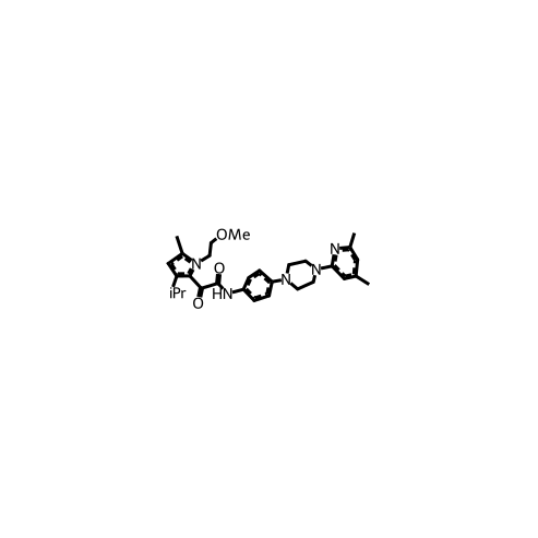 COCCn1c(C)cc(C(C)C)c1C(=O)C(=O)Nc1ccc(N2CCN(c3cc(C)cc(C)n3)CC2)cc1